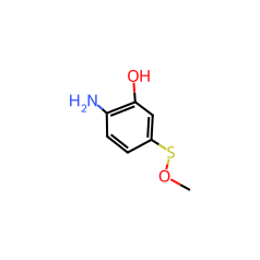 COSc1ccc(N)c(O)c1